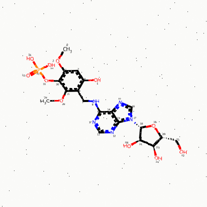 COc1cc(O)c(CNc2ncnc3c2ncn3[C@@H]2O[C@H](CO)[C@@H](O)[C@H]2O)c(OC)c1OP(=O)(O)O